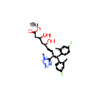 Cc1cc(F)ccc1C(=C(C=CC(O)CC(O)CC(=O)OC(C)(C)C)c1nnnn1C)c1ccc(F)cc1C